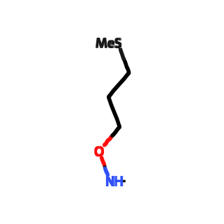 CSCCCO[NH]